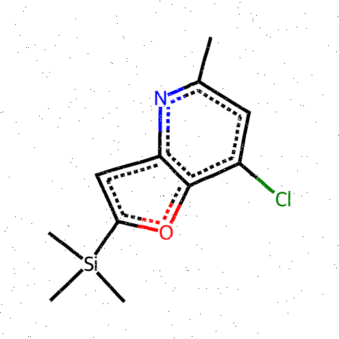 Cc1cc(Cl)c2oc([Si](C)(C)C)cc2n1